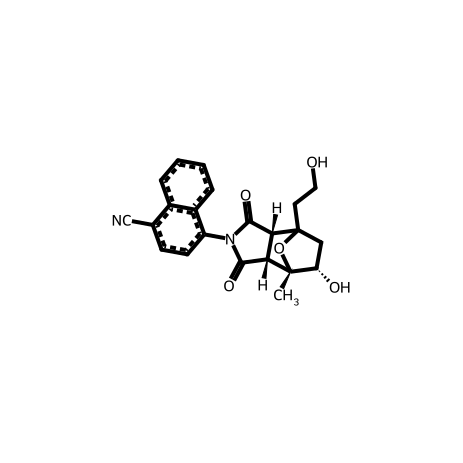 C[C@@]12OC(CCO)(C[C@@H]1O)[C@H]1C(=O)N(c3ccc(C#N)c4ccccc34)C(=O)[C@H]12